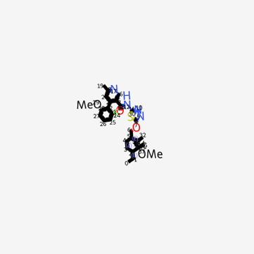 C\C=C(/C=C\C(COc1nnc(NC(=O)c2cnc(C)cc2-c2c(F)cccc2OC)s1)=C(\C)CC)C(C)(C)OC